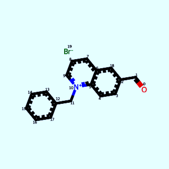 O=Cc1ccc2c(ccc[n+]2Cc2ccccc2)c1.[Br-]